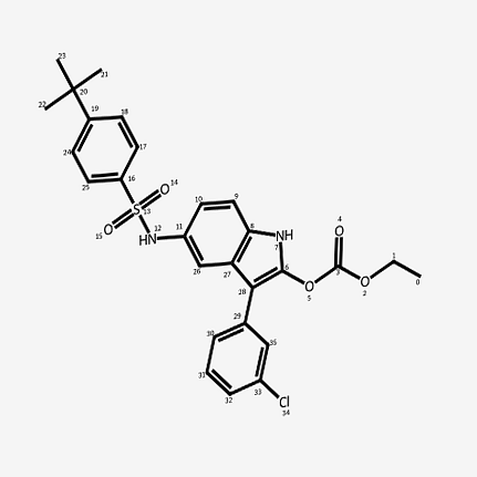 CCOC(=O)Oc1[nH]c2ccc(NS(=O)(=O)c3ccc(C(C)(C)C)cc3)cc2c1-c1cccc(Cl)c1